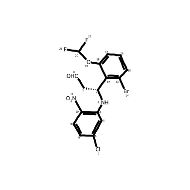 O=CC[C@@H](Nc1cc(Cl)ccc1[N+](=O)[O-])c1c(Br)cccc1OC(F)F